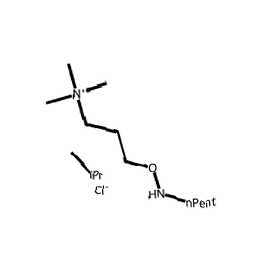 CC(C)C.CCCCCNOCCC[N+](C)(C)C.[Cl-]